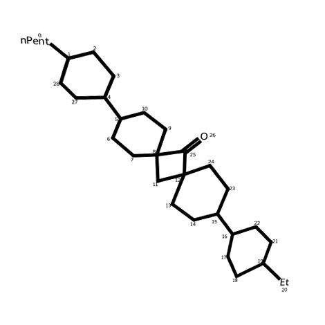 CCCCCC1CCC(C2CCC3(CC2)CC2(CCC(C4CCC(CC)CC4)CC2)C3=O)CC1